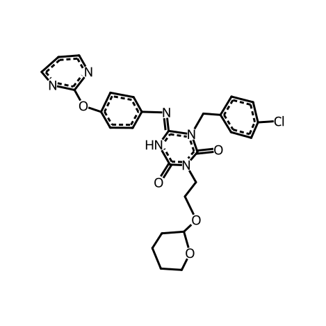 O=c1[nH]/c(=N\c2ccc(Oc3ncccn3)cc2)n(Cc2ccc(Cl)cc2)c(=O)n1CCOC1CCCCO1